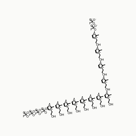 Cc1n(C)cc[n+]1CCO.Cc1n(C)cc[n+]1CCO.Cc1n(C)cc[n+]1CCO.Cc1n(C)cc[n+]1CCO.Cc1n(C)cc[n+]1CCO.Cc1n(C)cc[n+]1CCO.Cc1n(C)cc[n+]1CCO.Cc1n(C)cc[n+]1CCO.Cc1n(C)cc[n+]1CCO.Cc1n(C)cc[n+]1CCO.Cc1n(C)cc[n+]1CCO.Cc1n(C)cc[n+]1CCO.O=P([O-])([O-])F.O=P([O-])([O-])F.O=P([O-])([O-])F.O=P([O-])([O-])F.O=P([O-])([O-])F.O=P([O-])([O-])F